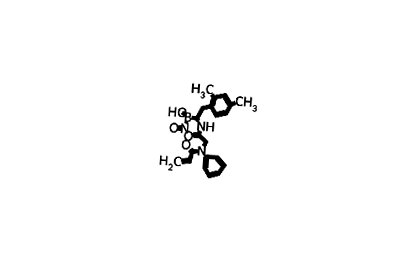 C=CC(=O)N(CC(=O)NC(Cc1ccc(C)cc1C)B(O)N=O)c1ccccc1